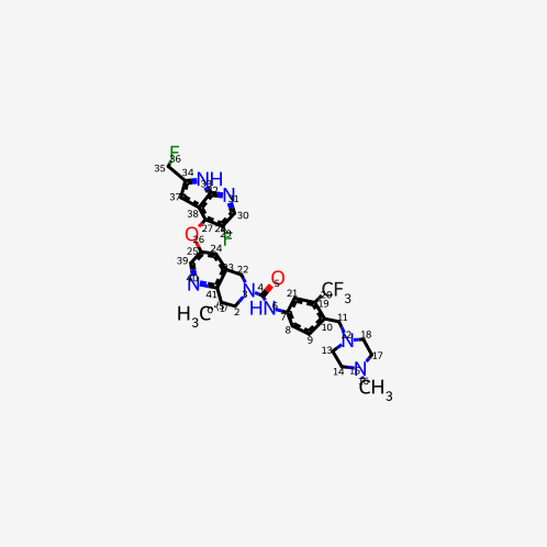 C[C@H]1CN(C(=O)Nc2ccc(CN3CCN(C)CC3)c(C(F)(F)F)c2)Cc2cc(Oc3c(F)cnc4[nH]c(CF)cc34)cnc21